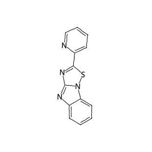 c1ccc(-c2nc3nc4ccccc4n3s2)nc1